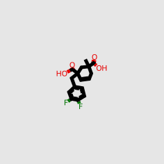 CC1(C(=O)O)CC=CC(Cc2ccc(F)c(F)c2)(C(=O)O)C1